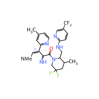 CN/C=C(\C(=N)C(=O)N1CC(F)(F)CC(C)C1CNc1ccc(C(F)(F)F)cn1)c1cc(C)ccn1